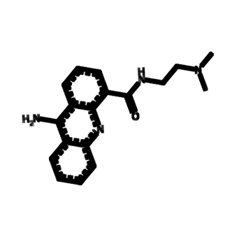 CN(C)CCNC(=O)c1cccc2c(N)c3ccccc3nc12